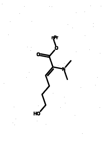 CCCOC(=O)C(=CCCCO)N(C)C